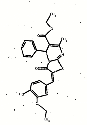 CCOC(=O)C1=C(C)N=c2s/c(=C/c3ccc(O)c(OCC)c3)c(=O)n2C1c1ccccc1